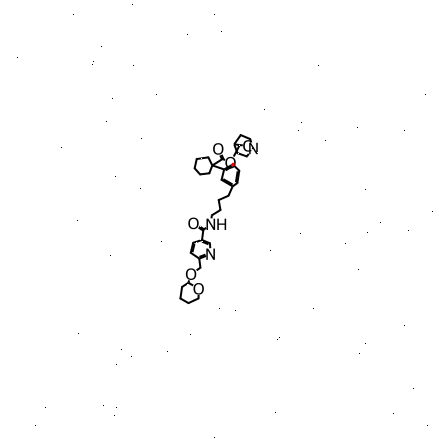 O=C(NCCCCc1cccc(C2(C(=O)OC3CN4CCC3CC4)CCCCC2)c1)c1ccc(COC2CCCCO2)nc1